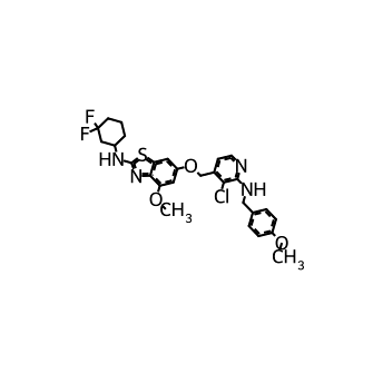 COc1ccc(CNc2nccc(COc3cc(OC)c4nc(NC5CCCC(F)(F)C5)sc4c3)c2Cl)cc1